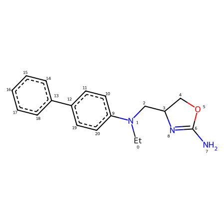 CCN(CC1COC(N)=N1)c1ccc(-c2ccccc2)cc1